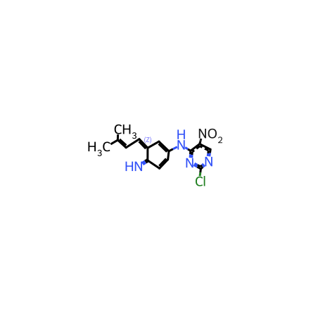 CC(C)=C/C=C1/C=C(Nc2nc(Cl)ncc2[N+](=O)[O-])C=CC1=N